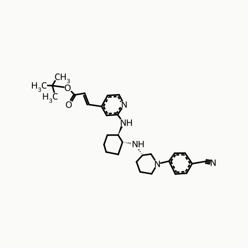 CC(C)(C)OC(=O)C=Cc1ccnc(N[C@@H]2CCCC[C@H]2N[C@H]2CCCN(c3ccc(C#N)cc3)C2)c1